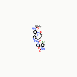 COC(=O)Nc1ccc2c(c1)NC(=O)[C@@H](C)CCC[C@H](NC(=O)N1CCC[C@@]3(C1)OC(=O)Nc1ccc(Cl)cc13)c1cc-2ccn1